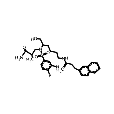 CC(CN(C(CO)CCCCNC(=O)[CH]Cc1ccc2ccccc2c1)S(=O)(=O)c1ccc(F)c(N)c1)C(N)=O